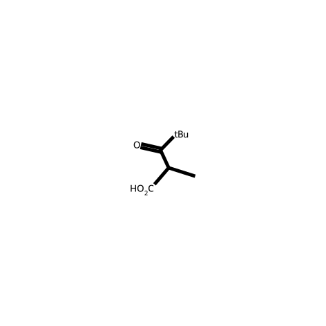 CC(C(=O)O)C(=O)C(C)(C)C